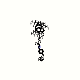 C=C[C@]1(C)CC[C@@H]2CC[C@]3(CCC(=O)[C@H]3[C@]2(C)COC(=O)COC(=O)/C=C/c2ccc(Cn3ccnc3)cc2)[C@@H](C)[C@@H]1O